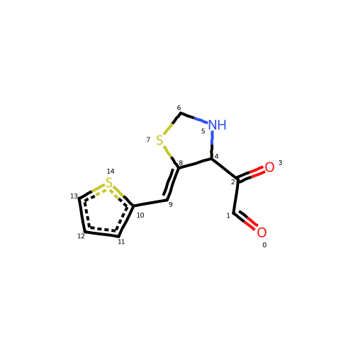 O=CC(=O)C1NCSC1=Cc1cccs1